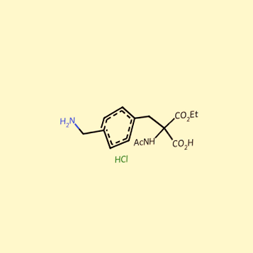 CCOC(=O)C(Cc1ccc(CN)cc1)(NC(C)=O)C(=O)O.Cl